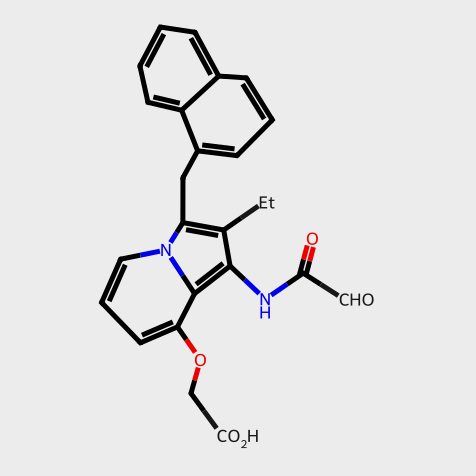 CCc1c(NC(=O)C=O)c2c(OCC(=O)O)cccn2c1Cc1cccc2ccccc12